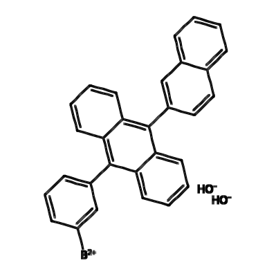 [B+2]c1cccc(-c2c3ccccc3c(-c3ccc4ccccc4c3)c3ccccc23)c1.[OH-].[OH-]